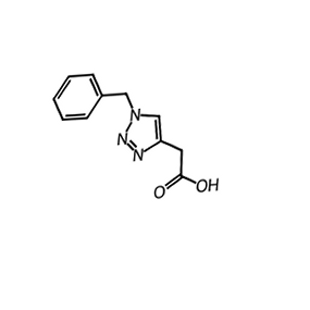 O=C(O)Cc1cn(Cc2ccccc2)nn1